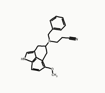 COc1ccc2[nH]cc3c2c1CC(N(CCC#N)Cc1ccccc1)C3